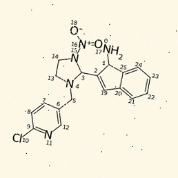 NC1C(C2N(Cc3ccc(Cl)nc3)CCN2[N+](=O)[O-])=Cc2ccccc21